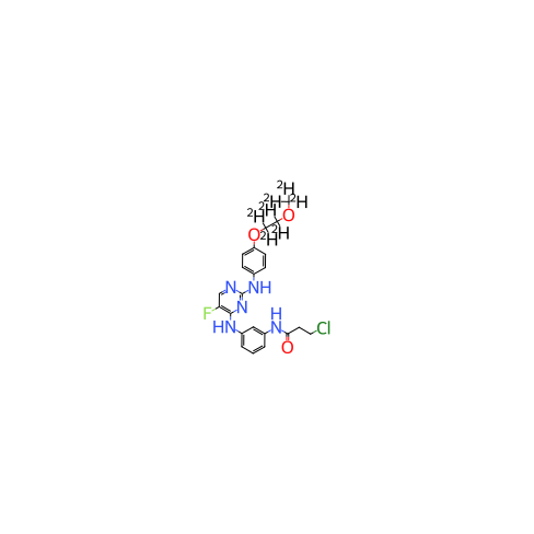 [2H]C([2H])([2H])OC([2H])([2H])C([2H])([2H])Oc1ccc(Nc2ncc(F)c(Nc3cccc(NC(=O)CCCl)c3)n2)cc1